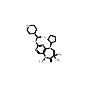 CC(Nc1ncc2c(n1)N(C1CCCC1)CC(C)(C)C(=O)N2C)C1CCNCC1